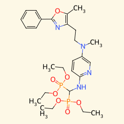 CCOP(=O)(OCC)C(Nc1ccc(N(C)CCc2nc(-c3ccccc3)oc2C)cn1)P(=O)(OCC)OCC